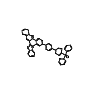 O=P(c1ccccc1)(c1ccccc1)c1ccc(-c2ccc(-c3ccc4c5nc6ccccc6cc5c5nc6ccccc6n5c4c3)cc2)cc1